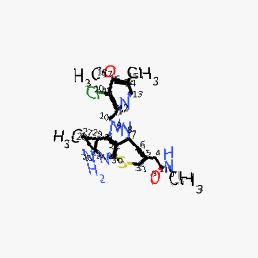 CNC(=O)CC1=Cc2nn(Cc3ncc(C)c(OC)c3Cl)c3c2C(=N[C@]2(N)C(C)C32)SC1